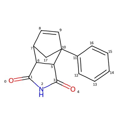 O=C1NC(=O)C2C1C1C=CC2(c2ccccc2)C1